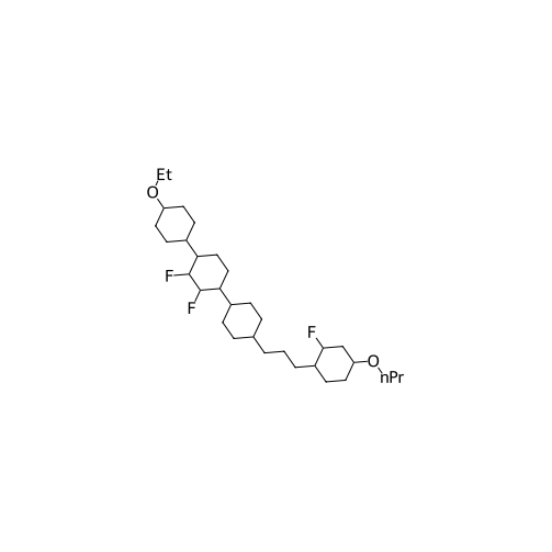 CCCOC1CCC(CCCC2CCC(C3CCC(C4CCC(OCC)CC4)C(F)C3F)CC2)C(F)C1